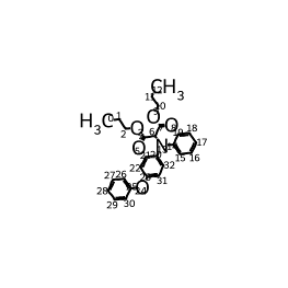 CCCOC(=O)C(C(=O)OCCC)N(c1ccccc1)c1ccc(Oc2ccccc2)cc1